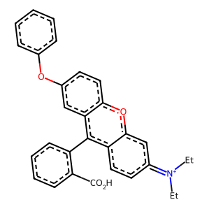 CC[N+](CC)=c1ccc2c(-c3ccccc3C(=O)O)c3cc(Oc4ccccc4)ccc3oc-2c1